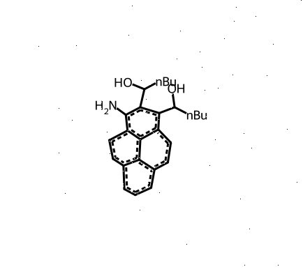 CCCCC(O)c1c(N)c2ccc3cccc4ccc(c1C(O)CCCC)c2c34